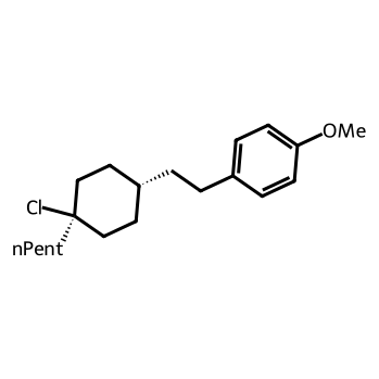 CCCCC[C@]1(Cl)CC[C@H](CCc2ccc(OC)cc2)CC1